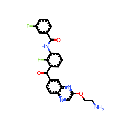 NCCOc1cnc2ccc(C(=O)c3cccc(NC(=O)c4cccc(F)c4)c3F)cc2n1